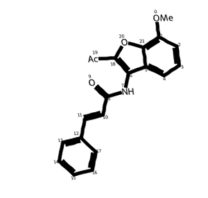 COc1cccc2c(NC(=O)C=Cc3ccccc3)c(C(C)=O)oc12